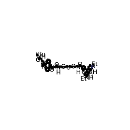 CC/N=C1/C=C2Oc3cc(NCC)c(C)cc3C(c3ccc(C(=O)NCCOCCOCCOCCNC(=O)CCC(=O)N4Cc5ccccc5-c5c(nnn5CCCC(=O)NCC(C)(C)C)-c5ccccc54)cc3C(=O)O)C2C=C1C